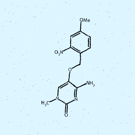 COc1ccc(COc2cn(C)c(=O)nc2N)c([N+](=O)[O-])c1